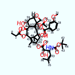 CCC(=O)O[C@H]1C(=O)[C@@]2(C)[C@H]([C@H](OC(=O)c3cccc(OC)c3)[C@]3(O)C[C@H](OC(=O)[C@H](O)[C@H](C=C(C)C)NC(=O)OC(C)(C)C)C(C)=C1C3(C)C)[C@]1(OC(C)=O)CO[C@@H]1C[C@@H]2O